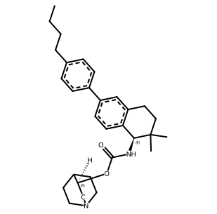 CCCCc1ccc(-c2ccc3c(c2)CCC(C)(C)[C@H]3NC(=O)O[C@H]2CN3CCC2CC3)cc1